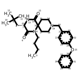 CCCCN1C(=O)[C@H](CC(C)(C)C)NC(=O)C12CCN(Cc1ccc(Oc3ccccc3)cc1)CC2